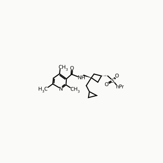 CCCS(=O)(=O)C[C@H]1C[C@@](CNC(=O)c2c(C)cc(C)nc2C)(CC2CC2)C1